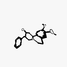 COc1cc2c(cc1OC)C1CC(=O)C(c3ccccc3)CN1CC2